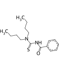 CCCCN(CCCC)C(=S)NC(=O)c1ccccc1